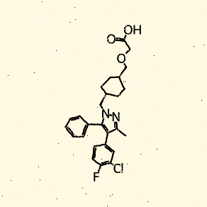 Cc1nn(C[C@H]2CC[C@@H](COCC(=O)O)CC2)c(-c2ccccc2)c1-c1ccc(F)c(Cl)c1